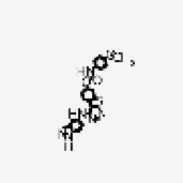 COc1ccc(NC(=O)OC2CCc3c(sc4ncnc(Nc5ccc6[nH]ncc6c5)c34)C2)cc1